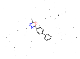 Cc1nnc(-c2ccc(-c3ccccc3)cc2)o1